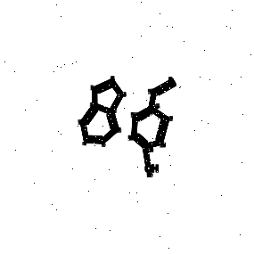 C1=Cc2ccccc2C1.C=Cc1ccc(O)cc1